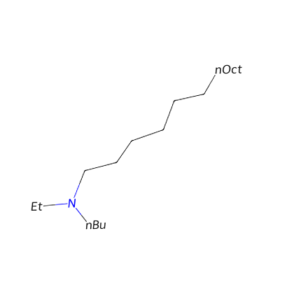 CCCCCCCCCCCCCCN(CC)CCCC